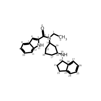 CCN(C(=O)c1cc2ccccc2[nH]1)C1CCC[C@H](N[C@H]2CCc3ccccc32)C1